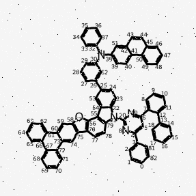 c1ccc(-c2cc(-c3ccccc3-c3ccccc3)nc(-n3c4ccc(-c5cccc(N(c6ccccc6)c6ccc7c(ccc8ccccc87)c6)c5)cc4c4c5oc6cc7c8ccccc8c8ccccc8c7cc6c5ccc43)n2)cc1